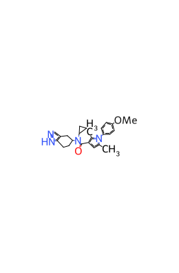 COc1ccc(-n2c(C)cc(C(=O)N(C3CC3)C3CCc4[nH]ncc4C3)c2C)cc1